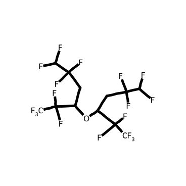 FC(F)C(F)(F)CC(OC(CC(F)(F)C(F)F)C(F)(F)C(F)(F)F)C(F)(F)C(F)(F)F